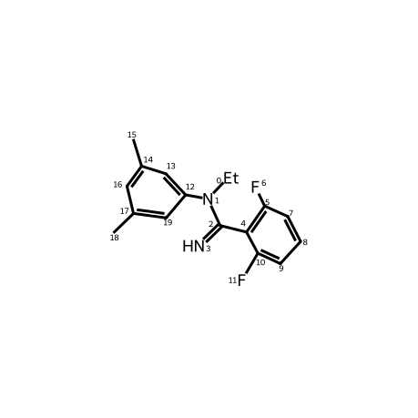 CCN(C(=N)c1c(F)cccc1F)c1cc(C)cc(C)c1